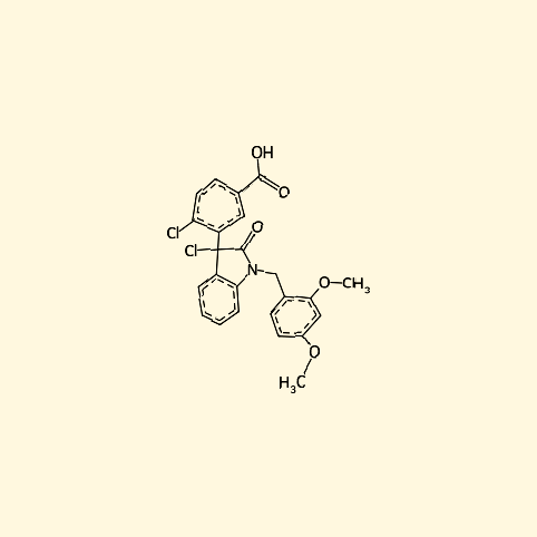 COc1ccc(CN2C(=O)C(Cl)(c3cc(C(=O)O)ccc3Cl)c3ccccc32)c(OC)c1